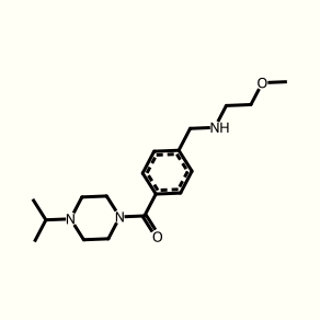 COCCNCc1ccc(C(=O)N2CCN(C(C)C)CC2)cc1